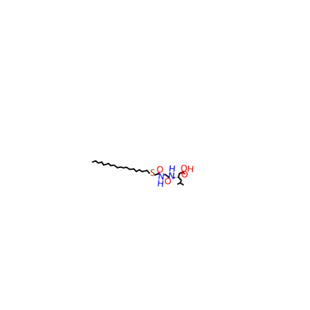 CCCCCCCCCCCCCCCCCCCSCC(=O)NCC(=O)NC[C@H](CC(=O)O)CC(C)C